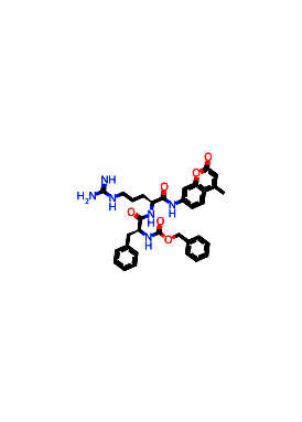 Cc1cc(=O)oc2cc(NC(=O)[C@H](CCCNC(=N)N)NC(=O)[C@H](Cc3ccccc3)NC(=O)OCc3ccccc3)ccc12